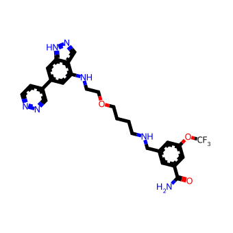 NC(=O)c1cc(CNCCCCOCCNc2cc(-c3ccnnc3)cc3[nH]ncc23)cc(OC(F)(F)F)c1